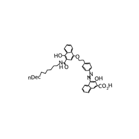 CCCCCCCCCCCCCCCCNC(=O)c1cc(OCCc2ccc(N=Nc3c(O)c(C(=O)O)cc4ccccc34)cc2)c2ccccc2c1O